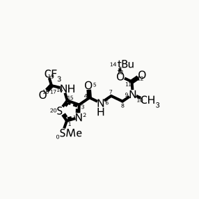 CSc1nc(C(=O)NCCN(C)C(=O)OC(C)(C)C)c(NC(=O)C(F)(F)F)s1